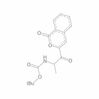 CC(NC(=O)OC(C)(C)C)C(=O)c1cc2ccccc2c(=O)o1